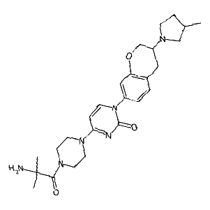 CC1CCN(C2COc3cc(-n4ccc(N5CCN(C(=O)C(C)(C)N)CC5)nc4=O)ccc3C2)C1